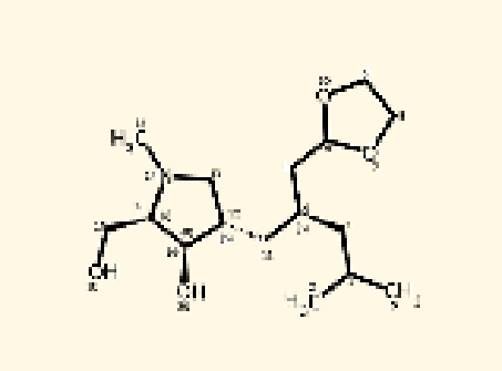 CC(C)C[C@H](CC1OCCO1)C[C@H]1CN(C)[C@H](CO)[C@@H]1O